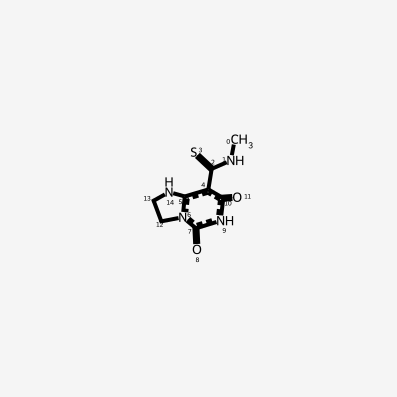 CNC(=S)c1c2n(c(=O)[nH]c1=O)CCN2